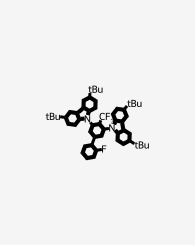 CC(C)(C)c1ccc2c(c1)c1cc(C(C)(C)C)ccc1n2-c1cc(-c2ccccc2F)cc(-n2c3ccc(C(C)(C)C)cc3c3cc(C(C)(C)C)ccc32)c1C(F)(F)F